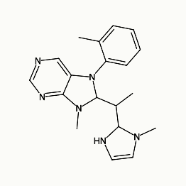 Cc1ccccc1N1c2cncnc2N(C)C1C(C)C1NC=CN1C